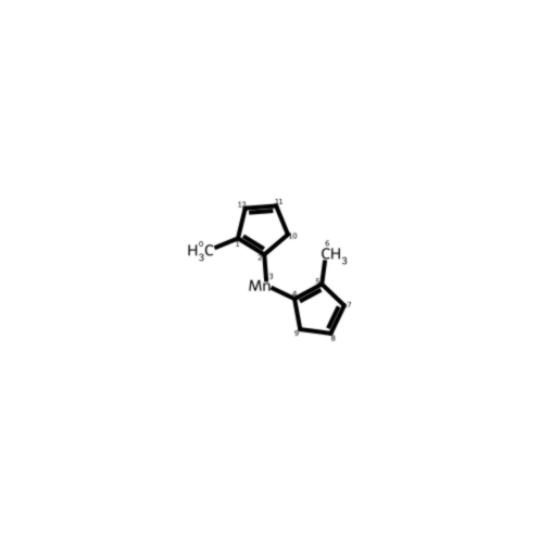 CC1=[C]([Mn][C]2=C(C)C=CC2)CC=C1